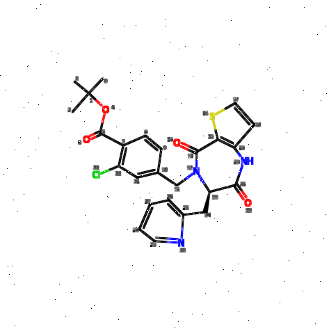 CC(C)(C)OC(=O)c1ccc(CN2C(=O)c3sccc3NC(=O)[C@H]2Cc2ccccn2)cc1Cl